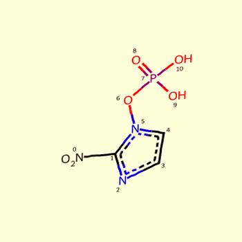 O=[N+]([O-])c1nccn1OP(=O)(O)O